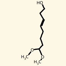 COC(CCC/C=C/CCO)OC